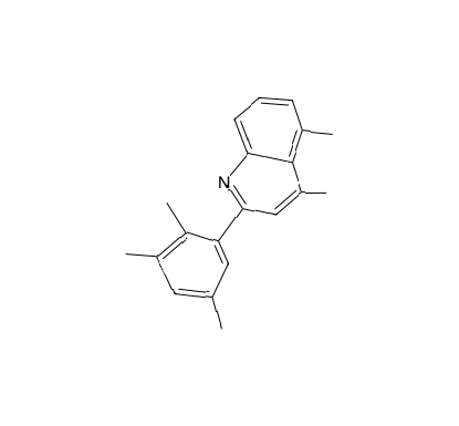 Cc1cc(C)c(C)c(-c2cc(C)c3c(C)cccc3n2)c1